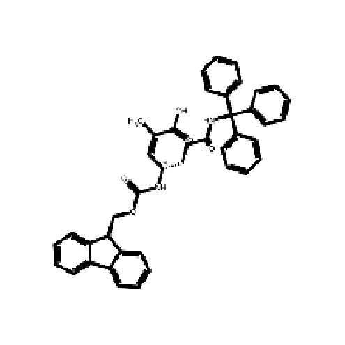 CC(=C[C@H](CCC(=O)NC(c1ccccc1)(c1ccccc1)c1ccccc1)NC(=O)OCC1c2ccccc2-c2ccccc21)C(=O)O